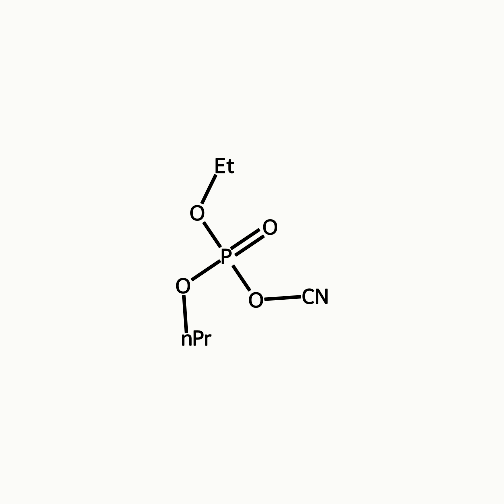 CCCOP(=O)(OC#N)OCC